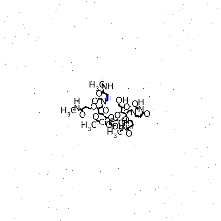 CNC(=O)/C=C\N(C=O)C1OC(COP(=O)(O)C(C)OC2C(CO)OC(n3ccc(=O)[nH]c3=O)C2OCCC(=O)NC)C(OC(C)C)C1OCCC(=O)NC